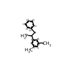 Cc1cc(C)cc(C(P)Cc2cc[c]cc2)c1